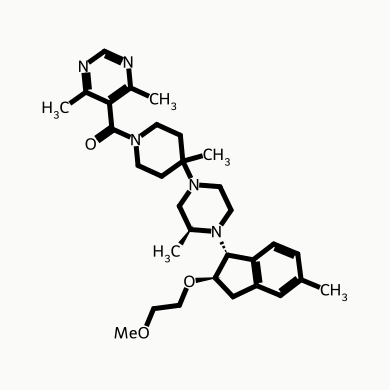 COCCO[C@@H]1Cc2cc(C)ccc2[C@H]1N1CCN(C2(C)CCN(C(=O)c3c(C)ncnc3C)CC2)C[C@@H]1C